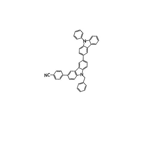 N#Cc1ccc(-c2ccc3c(c2)c2cc(-c4ccc5c(c4)c4ccccc4n5-c4ccccc4)ccc2n3Cc2ccccc2)cc1